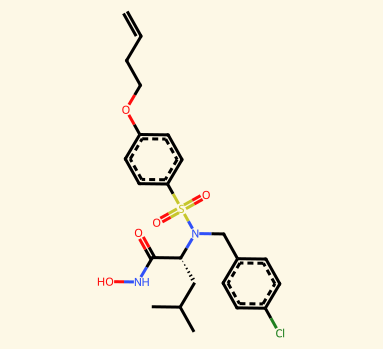 C=CCCOc1ccc(S(=O)(=O)N(Cc2ccc(Cl)cc2)[C@H](CC(C)C)C(=O)NO)cc1